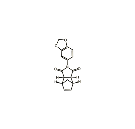 O=C1[C@@H]2[C@H](C(=O)N1c1ccc3c(c1)OCO3)[C@@H]1C=C[C@H]2C1